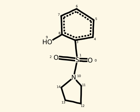 O=S(=O)(c1ccccc1O)N1CCCC1